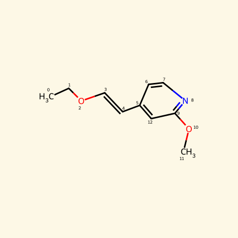 CCOC=Cc1ccnc(OC)c1